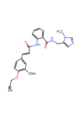 C#CCOc1ccc(C=CC(=O)Nc2ccccc2C(=O)NCc2cncn2C)cc1OC